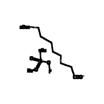 CCCCCCCCCCCCCCCCCC(=O)[O-].CCCCS(=O)(=O)OF.[Na+]